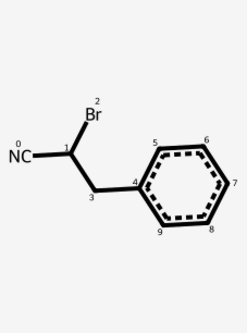 N#CC(Br)Cc1ccccc1